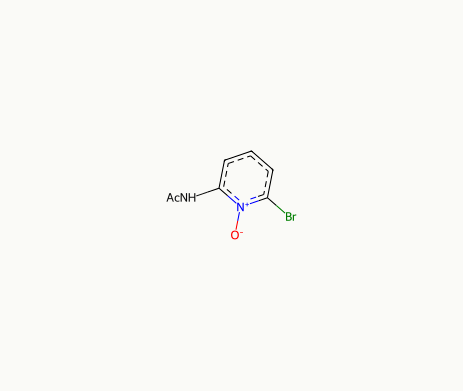 CC(=O)Nc1cccc(Br)[n+]1[O-]